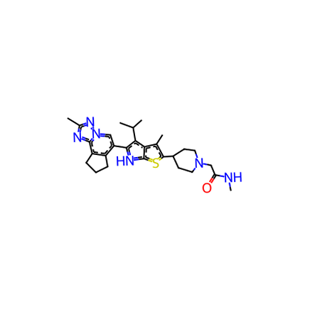 CNC(=O)CN1CCC(c2sc3[nH]c(-c4cn5nc(C)nc5c5c4CCC5)c(C(C)C)c3c2C)CC1